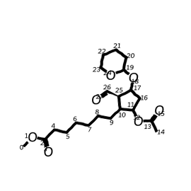 COC(=O)CCCCCCC1C(OC(C)=O)CC(OC2CCCCO2)[C@@H]1C=O